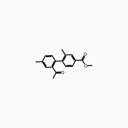 COC(=O)c1ccc(-c2ccc(C)cc2C(C)=O)c(C)c1